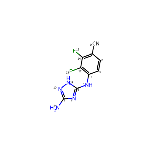 N#Cc1ccc(Nc2nc(N)n[nH]2)c(F)c1F